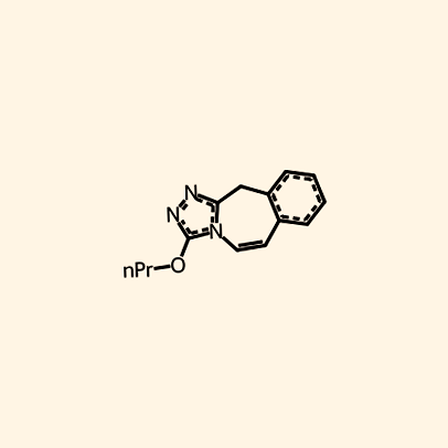 CCCOc1nnc2n1C=Cc1ccccc1C2